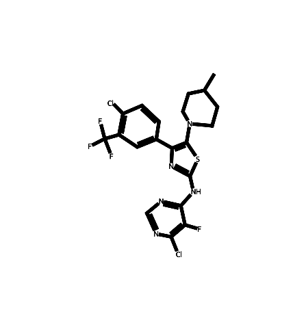 CC1CCN(c2sc(Nc3ncnc(Cl)c3F)nc2-c2ccc(Cl)c(C(F)(F)F)c2)CC1